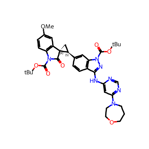 COc1ccc2c(c1)[C@]1(C[C@H]1c1ccc3c(Nc4cc(N5CCCOCC5)ncn4)nn(C(=O)OC(C)(C)C)c3c1)C(=O)N2C(=O)OC(C)(C)C